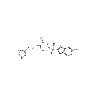 O=C1CN(S(=O)(=O)c2cc3ccc(Cl)cc3s2)CCN1CCCc1cnc[nH]1